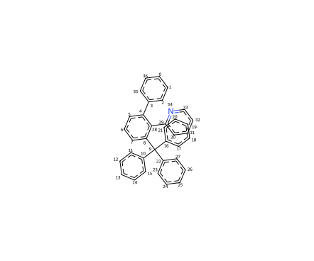 c1ccc(-c2cccc(C(c3ccccc3)(c3ccccc3)c3ccccc3)c2-c2ccccn2)cc1